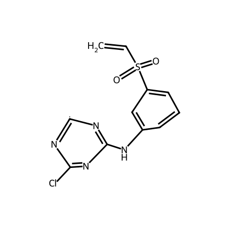 C=CS(=O)(=O)c1cccc(Nc2n[c]nc(Cl)n2)c1